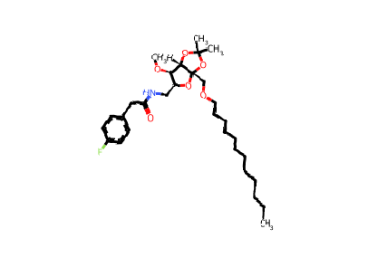 CCCCCCCCCCCCOC[C@@]12O[C@@H](CNC(=O)Cc3ccc(F)cc3)[C@@H](OC)[C@@H]1OC(C)(C)O2